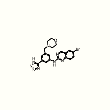 Brc1ccc2nc(Nc3cc(CN4CCOCC4)cc(-c4nnn[nH]4)c3)ncc2c1